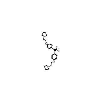 ClC1(Cl)C(c2ccc(OCCN3CCCC3)cc2)C1c1ccc(OCCN2CCCC2)cc1